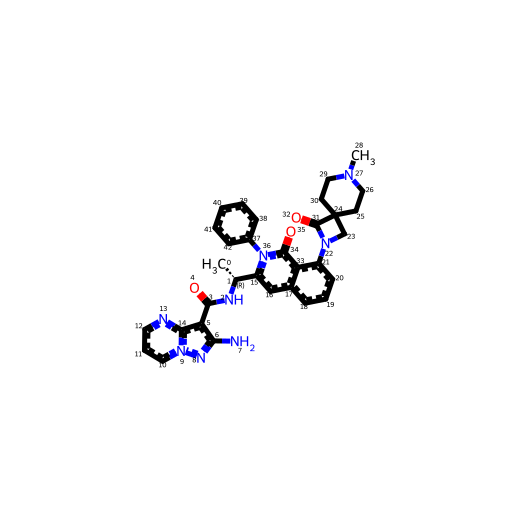 C[C@@H](NC(=O)c1c(N)nn2cccnc12)c1cc2cccc(N3CC4(CCN(C)CC4)C3=O)c2c(=O)n1-c1ccccc1